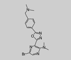 CN(C)Cc1ccc(-c2nnc(-c3nc(Br)cnc3N(C)C)o2)cc1